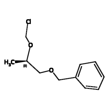 C[C@H](COCc1ccccc1)OCCl